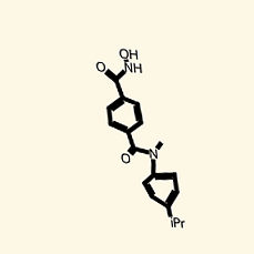 CC(C)c1ccc(N(C)C(=O)c2ccc(C(=O)NO)cc2)cc1